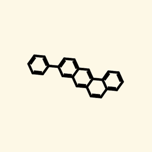 c1ccc(-c2ccc3cc4c(ccc5ccccc54)cc3c2)cc1